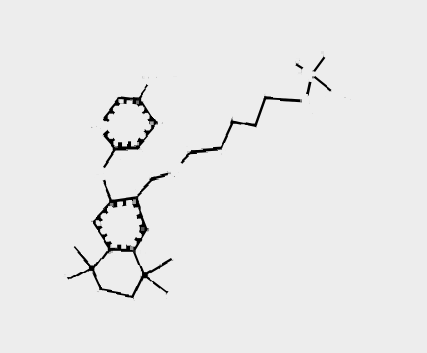 CC1(C)CCC(C)(C)c2cc([Se]c3ccc(C(=O)O)cn3)c(COCCCCCO[Si](C)(C)C(C)(C)C)cc21